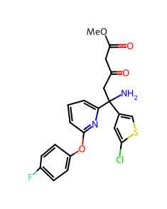 COC(=O)CC(=O)CC(N)(c1csc(Cl)c1)c1cccc(Oc2ccc(F)cc2)n1